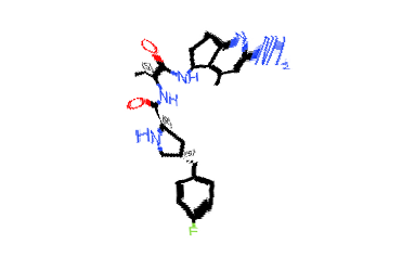 Cc1cc(N)nc2c1C(NC(=O)[C@H](C)NC(=O)[C@H]1C[C@H](Cc3ccc(F)cc3)CN1)CC2